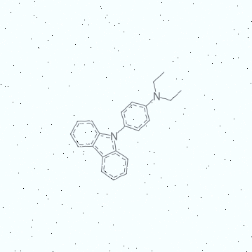 CCN(CC)c1ccc(-n2c3ccccc3c3ccccc32)cc1